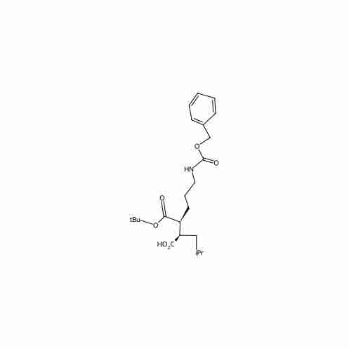 CC(C)C[C@@H](C(=O)O)[C@H](CCCNC(=O)OCc1ccccc1)C(=O)OC(C)(C)C